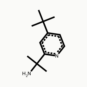 CC(C)(C)c1ccnc(C(C)(C)N)c1